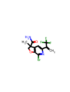 C=C(c1cc2c(c(Br)n1)OCC2(C)C(N)=O)C(F)(F)F